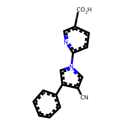 N#Cc1cn(-c2ccc(C(=O)O)cn2)cc1-c1ccccc1